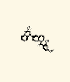 O=C(c1ccc(O)cc1O)N1CCCc2cc(-c3nc(C(F)(F)F)nc4ccccc34)ccc21